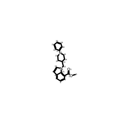 COC(=O)c1cccc2ccn(CC3CCN(c4ccccc4)CC3)c12